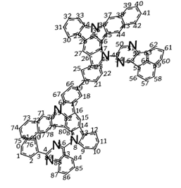 c1ccc(-c2nc(-n3c4ccccc4c4cc5c6cc(-c7ccc8c(c7)c7cc9c%10ccccc%10n%10c%11cc%12ccccc%12cc%11c(c7n8-c7cnc8c(n7)-c7cccc%11cccc-8c7%11)c9%10)ccc6n6c7cc8ccccc8cc7c(c43)c56)c3ccccc3n2)cc1